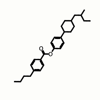 CCCCc1ccc(C(=O)Oc2ccc(C3CCC(CC(C)CC)CC3)cc2)cc1